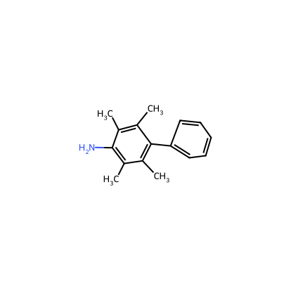 Cc1c(C)c(-c2ccccc2)c(C)c(C)c1N